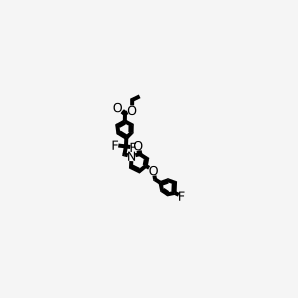 CCOC(=O)c1ccc(C(F)(F)Cn2ccc(OCc3ccc(F)cc3)cc2=O)cc1